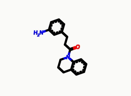 Nc1cccc(CCC(=O)N2CCCc3ccccc32)c1